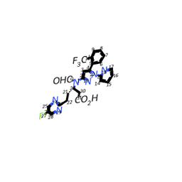 O=CN(c1cc(-c2ccccc2C(F)(F)F)n(-c2ccccn2)n1)[C@@H](CCc1ncc(F)cn1)CC(=O)O